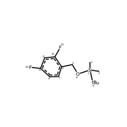 CC(C)(C)[Si](C)(C)OCc1ccc(F)cc1F